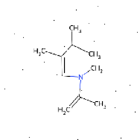 C=C(C)N(C)/C=C(/C)C(C)C